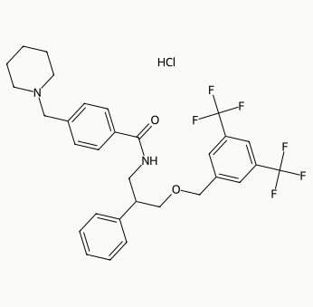 Cl.O=C(NCC(COCc1cc(C(F)(F)F)cc(C(F)(F)F)c1)c1ccccc1)c1ccc(CN2CCCCC2)cc1